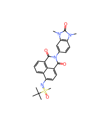 Cn1c(=O)n(C)c2cc(N3C(=O)c4cccc5c(N=S(C)(=O)C(C)(C)C)ccc(c45)C3=O)ccc21